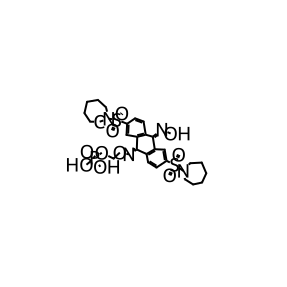 O=P(O)(O)OCON=C1c2ccc(S(=O)(=O)N3CCCCCC3)cc2C(=NO)c2ccc(S(=O)(=O)N3CCCCCC3)cc21